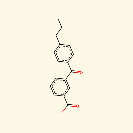 CCCc1ccc(C(=O)c2cccc(C(=O)O)c2)cc1